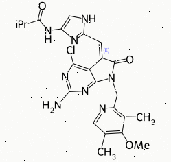 COc1c(C)cnc(CN2C(=O)/C(=C/c3nc(NC(=O)C(C)C)c[nH]3)c3c(Cl)nc(N)nc32)c1C